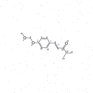 COCOc1ccc(/C=C/C(=O)C(C)C)cc1